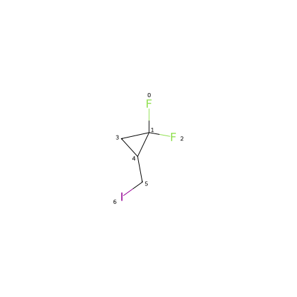 FC1(F)CC1CI